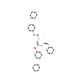 C=C(C/C=C(/C(=O)c1ccc(Sc2ccccc2)cc1)C(/C=C\C)Sc1ccccc1)C(=O)c1ccc(Sc2ccccc2)cc1